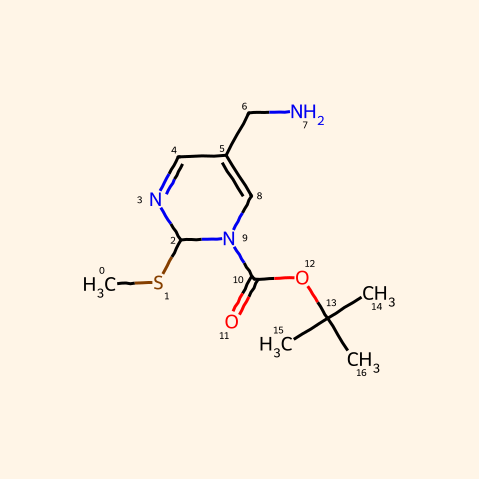 CSC1N=CC(CN)=CN1C(=O)OC(C)(C)C